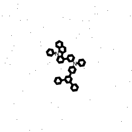 c1ccc(-c2cc(-c3ccccc3)cc(-c3ccc(N(c4ccccc4)c4cccc(-c5cccc6c5c5ccc7ccccc7c5n6-c5ccccc5)c4)cc3)c2)cc1